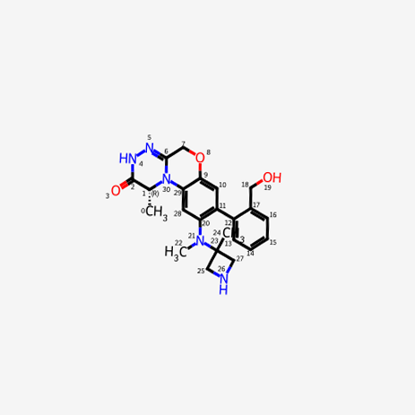 C[C@@H]1C(=O)NN=C2COc3cc(-c4ccccc4CO)c(N(C)C4(C)CNC4)cc3N21